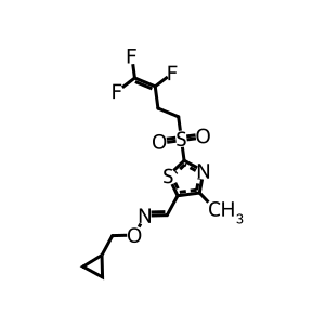 Cc1nc(S(=O)(=O)CCC(F)=C(F)F)sc1C=NOCC1CC1